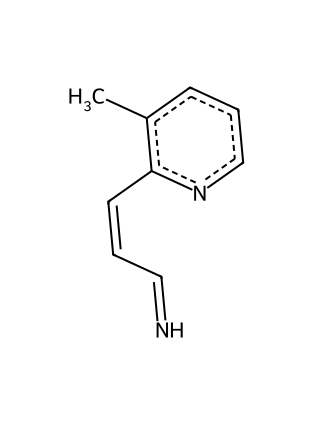 Cc1cccnc1/C=C\C=N